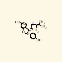 C=C(/C=C\C(F)=C(C)C)[C@H]1c2ccc(O)cc2OC[C@H]1c1ccc(O)cc1